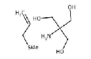 C=CCSC.NC(CO)(CO)CO